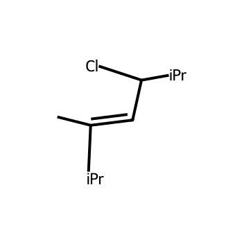 C/C(=C\C(Cl)C(C)C)C(C)C